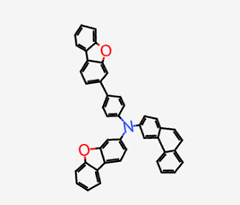 c1ccc2c(c1)ccc1ccc(N(c3ccc(-c4ccc5c(c4)oc4ccccc45)cc3)c3ccc4c(c3)oc3ccccc34)cc12